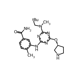 Cc1ccc(C(N)=O)cc1Nc1nc(O[C@H]2CCNC2)nc(N(C)CC(C)(C)C)n1